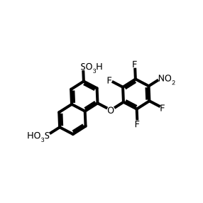 O=[N+]([O-])c1c(F)c(F)c(Oc2cc(S(=O)(=O)O)cc3cc(S(=O)(=O)O)ccc23)c(F)c1F